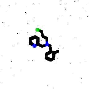 Cc1ccccc1CN(CCCCl)Cc1ccccn1